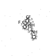 CC(NC(=O)[C@]1(c2ccccc2)CC[C@H](NCc2ccccc2)CC1)c1cc(C(F)(F)F)cc(C(F)(F)F)c1